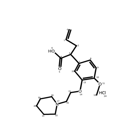 C=CCC(C(=O)O)c1ccc(OC)c(OCCN2CCCCC2)c1.Cl